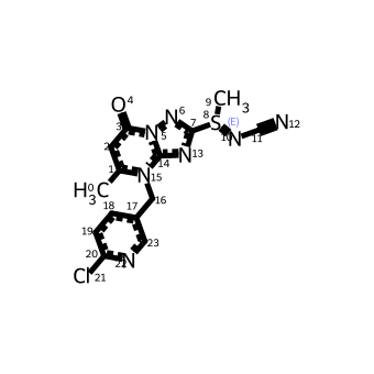 Cc1cc(=O)n2nc(/S(C)=N/C#N)nc2n1Cc1ccc(Cl)nc1